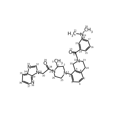 CC1CN(c2cccc3c2CN(C(=O)c2cccc(N(C)C)c2)CC3)CCN1C(=O)Cn1cnc2cccnc21